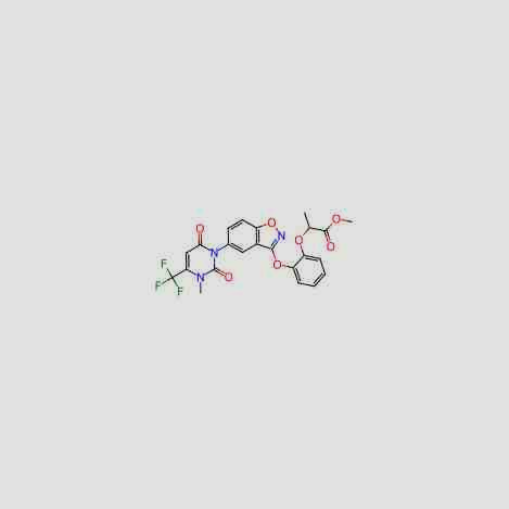 COC(=O)C(C)Oc1ccccc1Oc1noc2ccc(-n3c(=O)cc(C(F)(F)F)n(C)c3=O)cc12